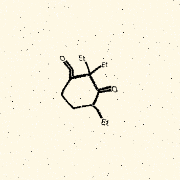 CCC1CCC(=O)C(CC)(CC)C1=O